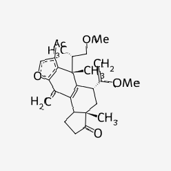 C=C1C2=C([C@H](C(=C)OC)C[C@]3(C)C(=O)CCC23)[C@@](C)([C@H](C)COC)c2c(C(C)=O)coc21